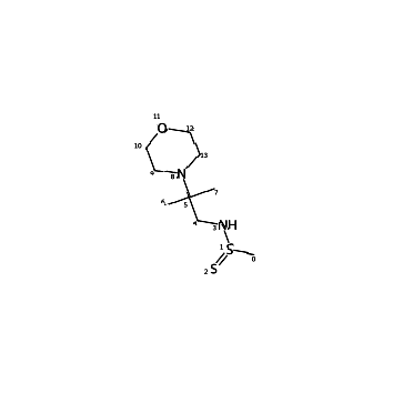 CS(=S)NCC(C)(C)N1CCOCC1